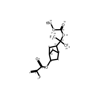 C=C(F)C(=O)OC1CC2CC1CC2C(OC(=O)OC(C)(C)C)(C(F)(F)F)C(F)(F)F